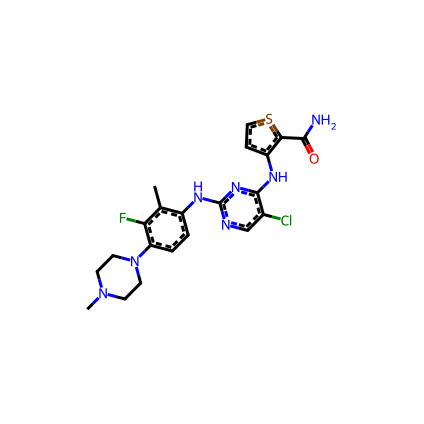 Cc1c(Nc2ncc(Cl)c(Nc3ccsc3C(N)=O)n2)ccc(N2CCN(C)CC2)c1F